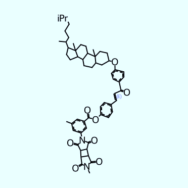 Cc1cc(C(=O)Oc2ccc(/C=C/C(=O)c3ccc(OC4CCC5(C)C(CCC6C5CCC5(C)C(C(C)CCCC(C)C)CCC65)C4)cc3)cc2)cc(N2C(=O)C3C4C(=O)N(C)C(=O)C4C3C2=O)c1